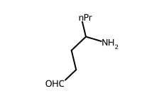 CCCC(N)CCC=O